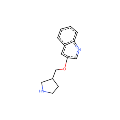 c1ccc2ncc(OCC3CCNC3)cc2c1